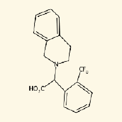 O=C(O)C(c1ccccc1C(F)(F)F)N1CCc2ccccc2C1